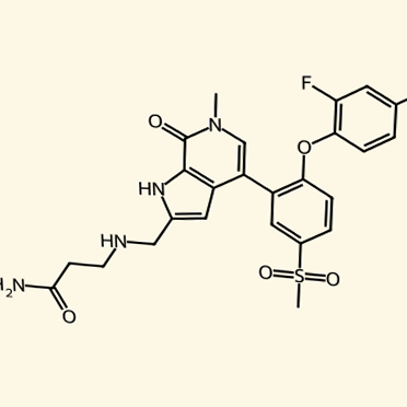 Cn1cc(-c2cc(S(C)(=O)=O)ccc2Oc2ccc(F)cc2F)c2cc(CNCCC(N)=O)[nH]c2c1=O